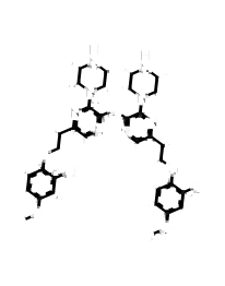 COc1ccc(OCCc2cnc(Oc3ncc(CCOc4ccc(OC)cc4Cl)nc3N3CCNCC3)c(N3CCNCC3)n2)c(Cl)c1